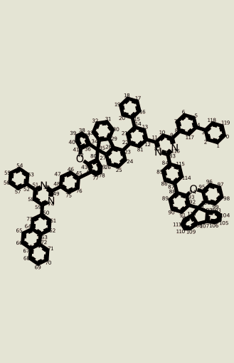 c1ccc(-c2cccc(-c3cc(-c4cc(-c5ccccc5)cc(-c5cccc6c5-c5ccccc5C65c6ccccc6Oc6c(-c7ccc(-c8nc(-c9ccccc9)cc(-c9ccc%10c(ccc%11ccccc%11%10)c9)n8)cc7)cccc65)c4)nc(-c4ccc(-c5cccc6c5Oc5ccccc5C65c6ccccc6-c6ccccc65)cc4)n3)c2)cc1